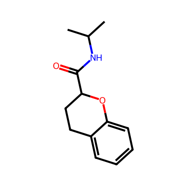 CC(C)NC(=O)C1CCc2ccccc2O1